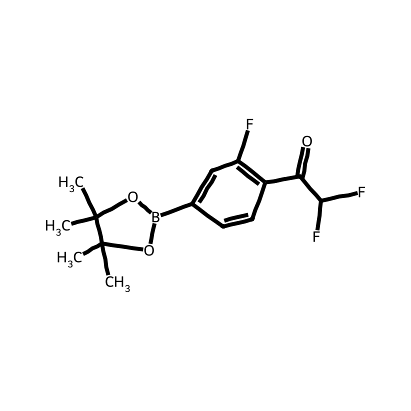 CC1(C)OB(c2ccc(C(=O)C(F)F)c(F)c2)OC1(C)C